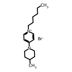 CCCCCC[n+]1ccc(N2CCC(C)CC2)cc1.[Br-]